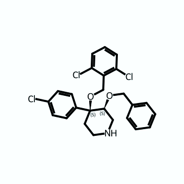 Clc1ccc([C@@]2(OCc3c(Cl)cccc3Cl)CCNC[C@@H]2OCc2ccccc2)cc1